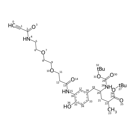 C#CC(=O)NCCOCCOCCC(=O)Nc1cc(CC(CC(C)C(=O)OC(C)(C)C)NC(=O)OC(C)(C)C)ccc1O